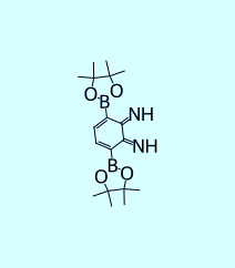 CC1(C)OB(C2=CC=C(B3OC(C)(C)C(C)(C)O3)C(=N)C2=N)OC1(C)C